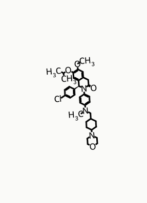 COc1cc2c(cc1OC(C)C)[C@H](c1ccc(Cl)cc1)N(c1ccc(N(C)CC3CCC(N4CCOCC4)CC3)cc1)C(=O)C2